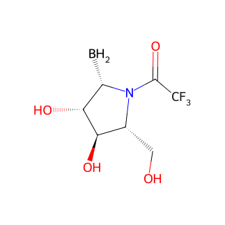 B[C@H]1[C@@H](O)[C@H](O)[C@@H](CO)N1C(=O)C(F)(F)F